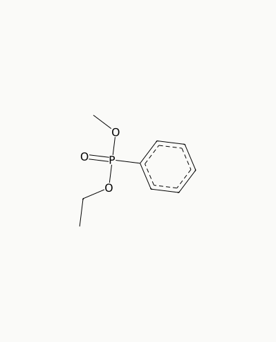 CCOP(=O)(OC)c1ccccc1